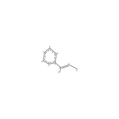 CC=C(C)c1[c]cccc1